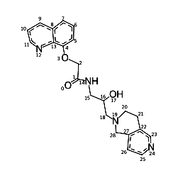 O=C(COc1cccc2cccnc12)NCC(O)CN1CCc2cnccc2C1